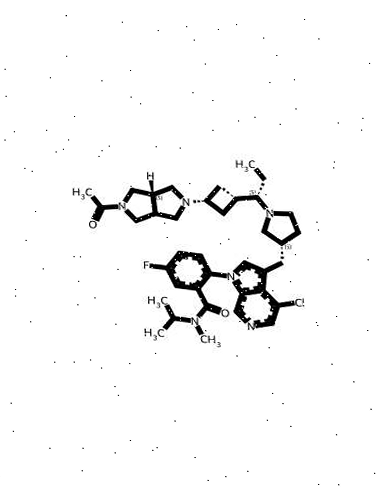 CC[C@@H]([C@H]1C[C@@H](N2CC3CN(C(C)=O)C[C@@H]3C2)C1)N1CC[C@H](Cc2cn(-c3ccc(F)cc3C(=O)N(C)C(C)C)c3cncc(Cl)c23)C1